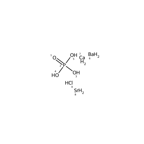 Cl.O=P(O)(O)O.[BaH2].[CaH2].[SrH2]